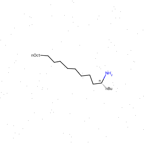 CCCCCCCCCCCCCCCC[C@H](N)CCCC